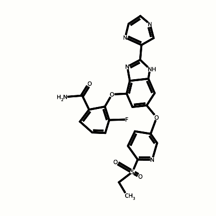 CCS(=O)(=O)c1ccc(Oc2cc(Oc3c(F)cccc3C(N)=O)c3nc(-c4cnccn4)[nH]c3c2)cn1